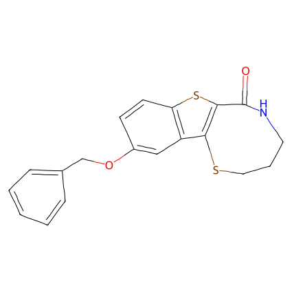 O=C1NCCCSc2c1sc1ccc(OCc3ccccc3)cc21